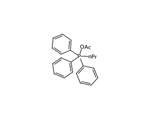 CCCP(OC(C)=O)(c1ccccc1)(c1ccccc1)c1ccccc1